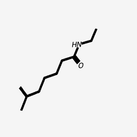 CCNC(=O)CCCCC(C)C